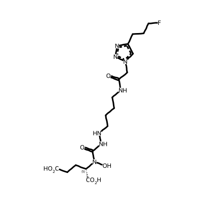 O=C(O)CC[C@@H](C(=O)O)N(O)C(=O)NNCCCCNC(=O)Cn1cc(CCCF)nn1